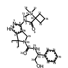 CC1(C)c2[nH]nc(NC(=O)C3([Si](C)(C)C)CCC3)c2CN1C(=O)N[C@H](CO)c1ccccc1